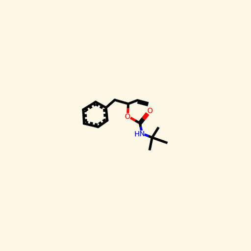 C=CC(Cc1ccccc1)OC(=O)NC(C)(C)C